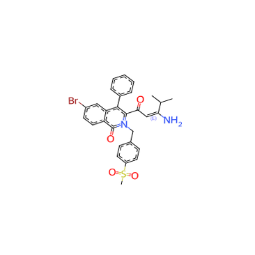 CC(C)/C(N)=C\C(=O)c1c(-c2ccccc2)c2cc(Br)ccc2c(=O)n1Cc1ccc(S(C)(=O)=O)cc1